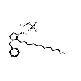 CCCCCCCCCCCC1=[N+](C)CCN1Cc1ccccc1.COS(=O)(=O)[O-]